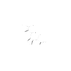 CC(C)N(O)C(=O)N(c1cocc1N(O)C(N)=O)C(C)C